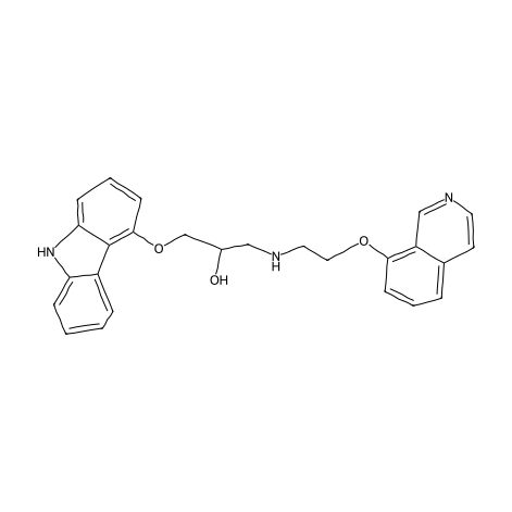 OC(CNCCOc1cccc2ccncc12)COc1cccc2[nH]c3ccccc3c12